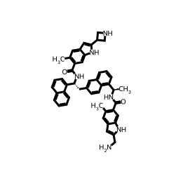 Cc1cc2cc(CN)[nH]c2cc1C(=O)N[C@H](C)c1cccc2cc(C[C@@H](NC(=O)c3cc4[nH]c(C5CNC5)cc4cc3C)c3cccc4ccccc34)ccc12